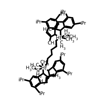 C[SiH2][Hf]([CH3])([CH3])([CH2]CCCC[CH2][Hf]([CH3])([CH3])([SiH2]C)([CH]1C(C)=Cc2c(C(C)C)cc(C(C)C)cc21)[CH]1C(C)=Cc2c(C(C)C)cc(C(C)C)cc21)([CH]1C(C)=Cc2c(C(C)C)cc(C(C)C)cc21)[CH]1C(C)=Cc2c(C(C)C)cc(C(C)C)cc21